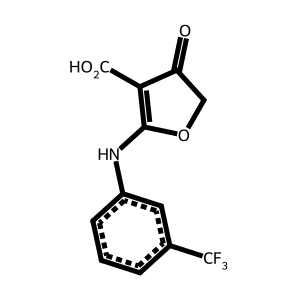 O=C(O)C1=C(Nc2cccc(C(F)(F)F)c2)OCC1=O